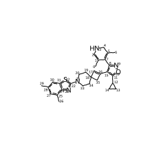 CC1=CNCC(C)=C1c1noc(C2CC2)c1C1=CC2(CCN(c3nc4c(C)cc(C)cc4s3)CC2)C1